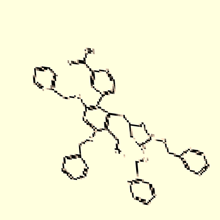 CCc1c(OCc2ccccc2)cc(OCc2ccccc2)c(-c2cccc(C(=O)O)c2)c1CC1O[C@@H](OCc2ccccc2)[C@H](OCc2ccccc2)O1